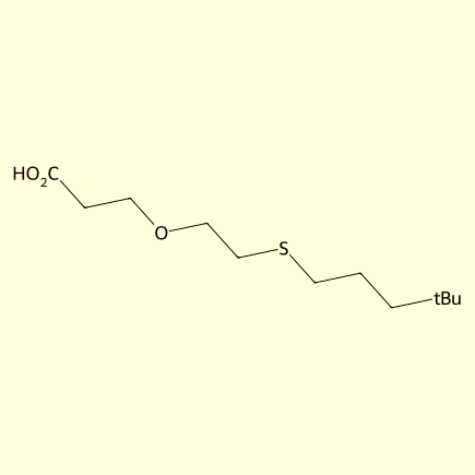 CC(C)(C)CCCSCCOCCC(=O)O